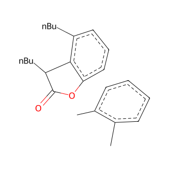 CCCCc1cccc2c1C(CCCC)C(=O)O2.Cc1ccccc1C